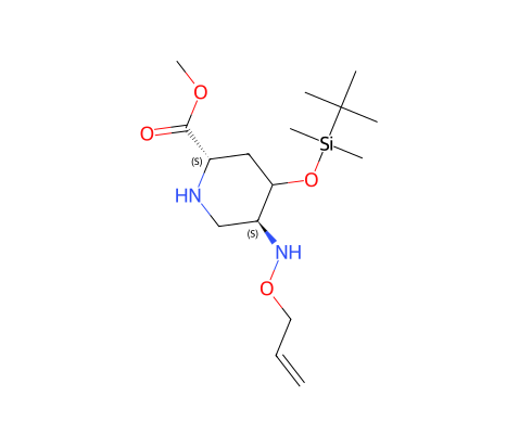 C=CCON[C@H]1CN[C@H](C(=O)OC)CC1O[Si](C)(C)C(C)(C)C